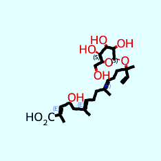 C=CC(C)(CC/C=C(\C)CC/C=C(\C)CC(O)/C=C(\C)C(=O)O)O[C@@H]1OC(CO)[C@@H](O)C(O)C1O